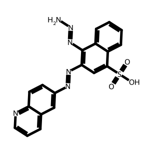 NN=Nc1c(/N=N/c2ccc3ncccc3c2)cc(S(=O)(=O)O)c2ccccc12